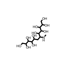 CNC(CC(O)C(O)C(O)C(O)CO)C(O)C(O)C(O)C(O)CO